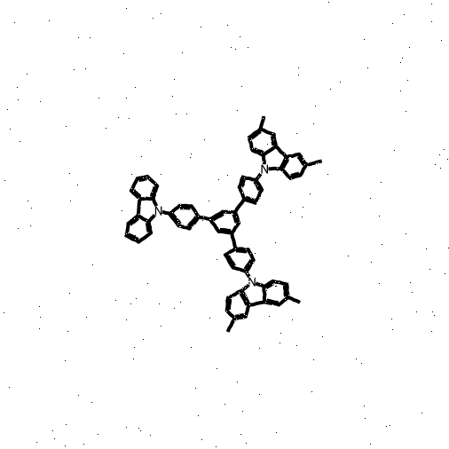 Cc1ccc2c(c1)c1cc(C)ccc1n2-c1ccc(-c2cc(-c3ccc(-n4c5ccccc5c5ccccc54)cc3)cc(-c3ccc(-n4c5ccc(C)cc5c5cc(C)ccc54)cc3)c2)cc1